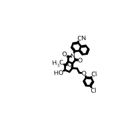 CC12OC(CCOc3ccc(Cl)cc3Cl)(CC1O)C1C(=O)N(c3ccc(C#N)c4ccccc34)C(=O)C12